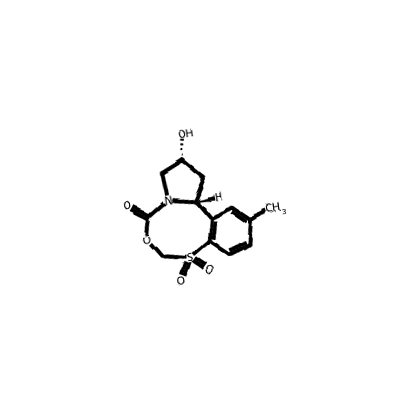 Cc1ccc2c(c1)[C@H]1C[C@@H](O)CN1C(=O)OCS2(=O)=O